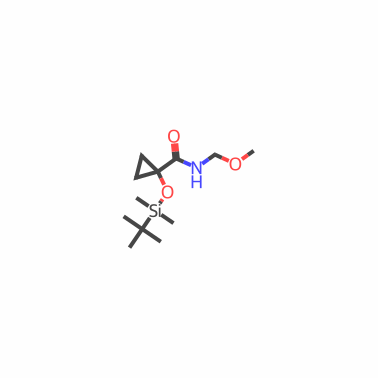 COCNC(=O)C1(O[Si](C)(C)C(C)(C)C)CC1